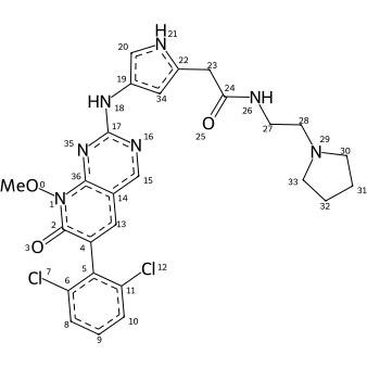 COn1c(=O)c(-c2c(Cl)cccc2Cl)cc2cnc(Nc3c[nH]c(CC(=O)NCCN4CCCC4)c3)nc21